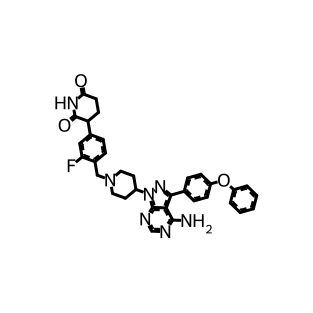 Nc1ncnc2c1c(-c1ccc(Oc3ccccc3)cc1)nn2C1CCN(Cc2ccc(C3CCC(=O)NC3=O)cc2F)CC1